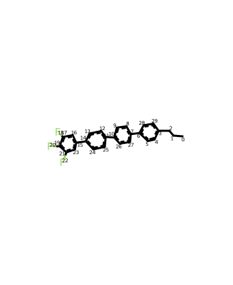 CCCc1ccc(-c2ccc(-c3ccc(-c4cc(F)c(F)c(F)c4)cc3)cc2)cc1